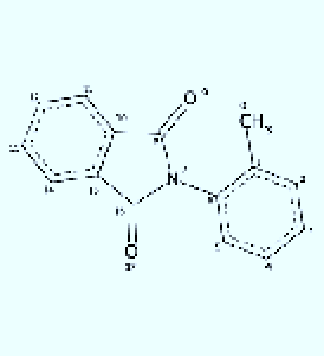 Cc1ccccc1N1C(=O)c2ccccc2C1=O